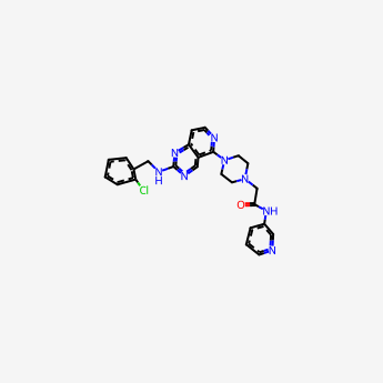 O=C(CN1CCN(c2nccc3nc(NCc4ccccc4Cl)ncc23)CC1)Nc1cccnc1